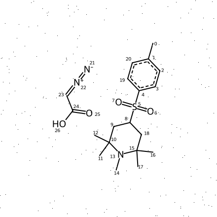 Cc1ccc(S(=O)(=O)C2CC(C)(C)N(C)C(C)(C)C2)cc1.[N-]=[N+]=CC(=O)O